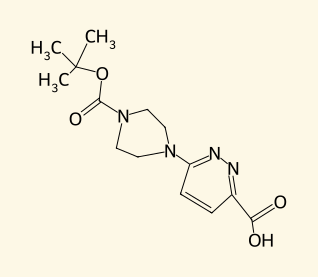 CC(C)(C)OC(=O)N1CCN(c2ccc(C(=O)O)nn2)CC1